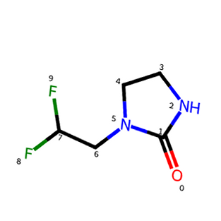 O=C1NCCN1CC(F)F